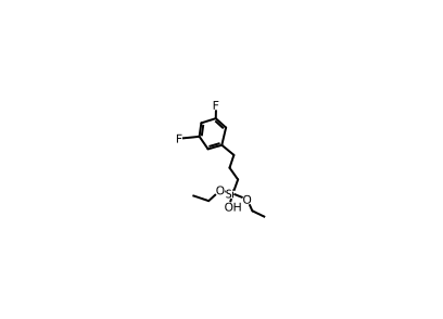 CCO[Si](O)(CCCc1cc(F)cc(F)c1)OCC